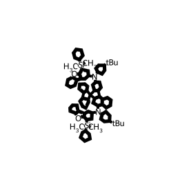 CC(C)(C)c1ccc(N(c2ccc3c(c2)C2(c4ccccc4-c4ccccc42)c2cc(N(c4ccc(C(C)(C)C)cc4)c4cc([Si](C)(C)c5ccccc5)c5oc6ccccc6c5c4)c4ccccc4c2-3)c2cc([Si](C)(C)c3ccccc3)c3oc4ccccc4c3c2)cc1